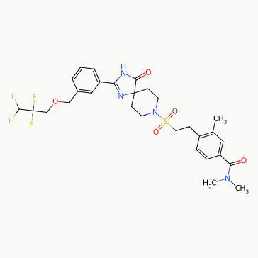 Cc1cc(C(=O)N(C)C)ccc1CCS(=O)(=O)N1CCC2(CC1)N=C(c1cccc(COCC(F)(F)C(F)F)c1)NC2=O